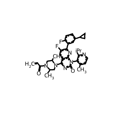 C=CC(=O)N1CC(C)N(c2nc(=O)n(-c3c(C)ccnc3C(C)C)c3nc(-c4cc(C5CC5)ccc4F)c(F)cc23)CC1C